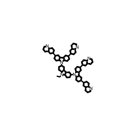 CCn1c2ccc(-n3c4ccc(-c5ccc6ncccc6c5)cc4c4cc(-c5ccc6ncccc6c5)ccc43)cc2c2cc(-n3c4ccc(-c5ccc6ncccc6c5)cc4c4cc(-c5ccc6ncccc6c5)ccc43)ccc21